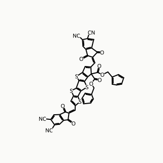 N#Cc1cc2c(cc1C#N)C(=O)C(=CC1=Cc3sc4c(sc5c6sc(C=C7C(=O)c8cc(C#N)c(C#N)cc8C7=O)cc6sc45)c3C1(C(=O)OCc1ccccc1)C(=O)OCc1ccccc1)C2=O